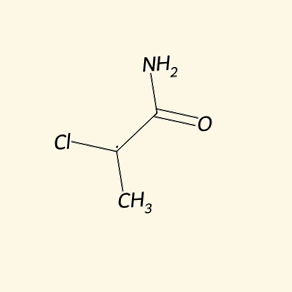 C[C](Cl)C(N)=O